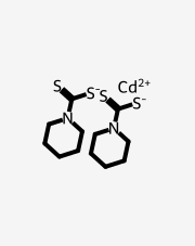 S=C([S-])N1CCCCC1.S=C([S-])N1CCCCC1.[Cd+2]